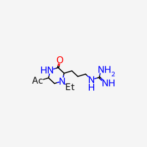 CCN1CC(C(C)=O)NC(=O)C1CCCNC(=N)N